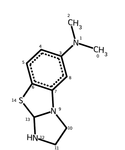 CN(C)c1ccc2c(c1)N1CCNC1S2